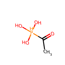 CC(=O)[PH](O)(O)O